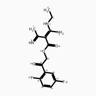 CCN/C(N)=C(\C(C)=N)C(=O)OCC(=O)c1cc(F)ccc1F